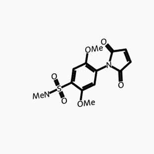 CNS(=O)(=O)c1cc(OC)c(N2C(=O)C=CC2=O)cc1OC